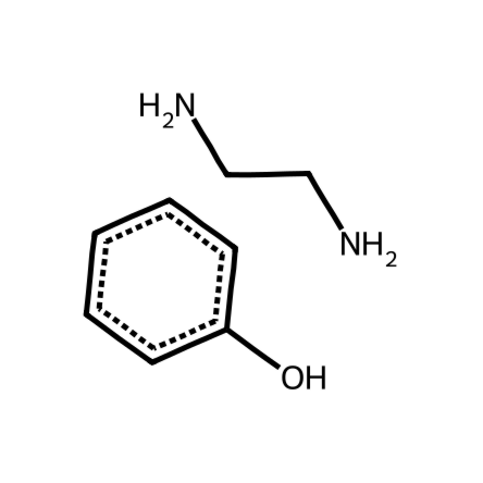 NCCN.Oc1ccccc1